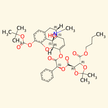 CCCCOC(=O)[C@@H]1OC(C)(C)O[C@H]1C(=O)O[C@H](C(=O)OC1=CC[C@@]2(O)[C@H]3Cc4ccc(OC(=O)OC(C)(C)C)c5c4[C@@]2(CCN3C)[C@H]1O5)c1ccccc1